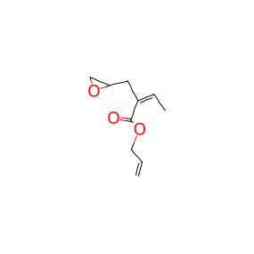 C=CCOC(=O)C(=CC)CC1CO1